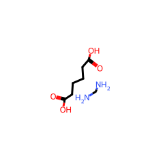 NCN.O=C(O)CCCCC(=O)O